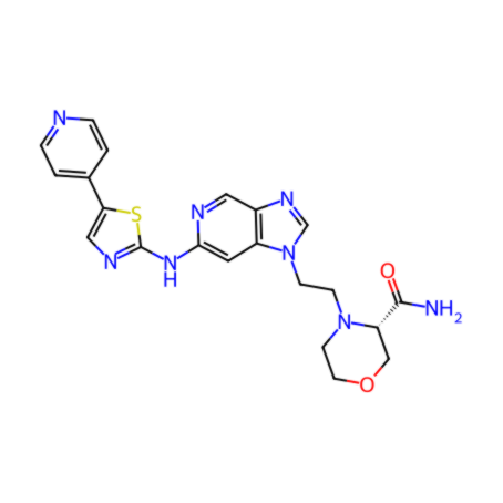 NC(=O)[C@@H]1COCCN1CCn1cnc2cnc(Nc3ncc(-c4ccncc4)s3)cc21